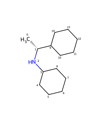 C[C@@H](NC1CCCCC1)C1CCCCC1